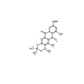 COc1cc(O)c2c(c1)C(=O)c1cc3c(c(O)c1C2=O)C(O)CC(C)(O)C3